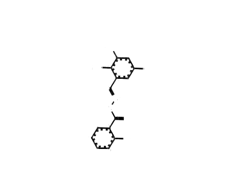 O=C(N/N=C/c1cc(Cl)cc(C(F)(F)F)c1O)c1ccccc1O